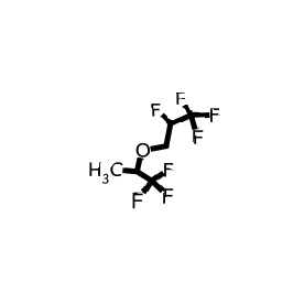 CC(OCC(F)C(F)(F)F)C(F)(F)F